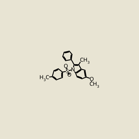 COc1ccc2c(c1)c(C)c(-c1ccccc1)n2S(=O)(=O)c1ccc(C)cc1